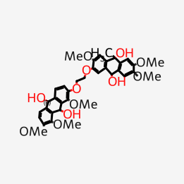 COc1cc2c(cc1OC)C(C)(O)c1cc(OC)c(OCCOc3ccc4c(c3OC)C(O)c3c(ccc(OC)c3OC)[C@H]4O)cc1C2O